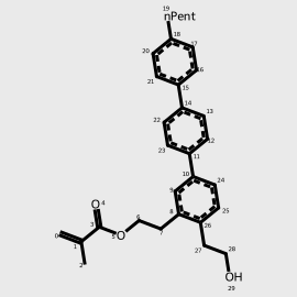 C=C(C)C(=O)OCCc1cc(-c2ccc(-c3ccc(CCCCC)cc3)cc2)ccc1CCO